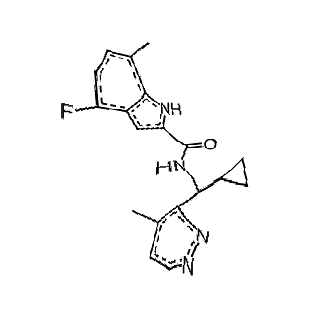 Cc1ccnnc1C(NC(=O)c1cc2c(F)ccc(C)c2[nH]1)C1CC1